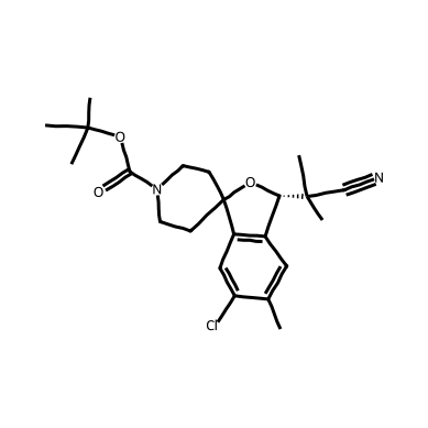 Cc1cc2c(cc1Cl)C1(CCN(C(=O)OC(C)(C)C)CC1)O[C@@H]2C(C)(C)C#N